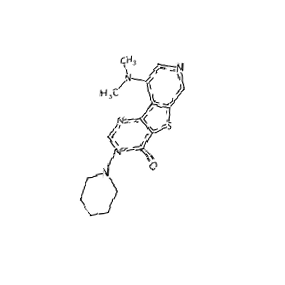 CN(C)c1cncc2sc3c(=O)n(N4CCCCC4)cnc3c12